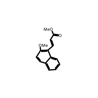 COC(=O)C=Cc1c(OC)ccc2ccccc12